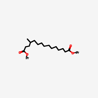 CC(CCCCCCCCCCC(=O)OC(C)C)CCC(=O)OC(C)C